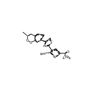 COC(=O)c1cc(-c2nc(-c3ccc4c(c3)OOC(C)C4)cs2)c(SC)s1